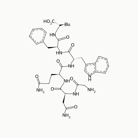 CC[C@H](C)[C@H](NC(=O)[C@H](Cc1ccccc1)NC(=O)[C@H](Cc1c[nH]c2ccccc12)NC(=O)[C@H](CCC(N)=O)NC(=O)[C@H](CC(N)=O)NC(=O)CN)C(=O)O